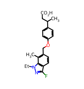 CCn1nc(F)c2ccc(COc3ccc(C(C)CC(=O)O)cc3)c(C)c21